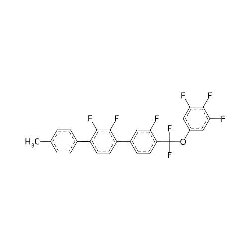 Cc1ccc(-c2ccc(-c3ccc(C(F)(F)Oc4cc(F)c(F)c(F)c4)c(F)c3)c(F)c2F)cc1